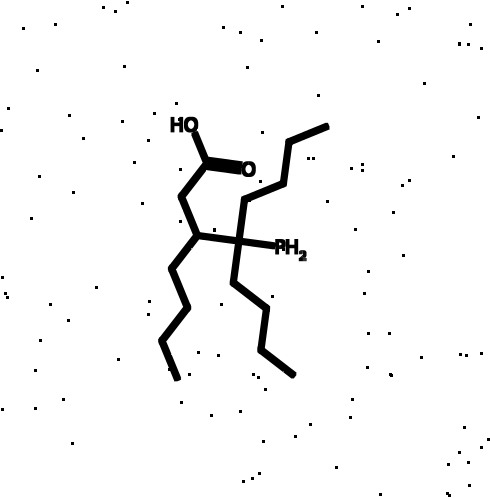 CCCCC(CC(=O)O)C(P)(CCCC)CCCC